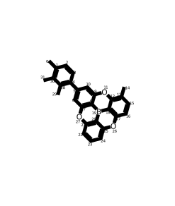 Cc1ccc(-c2cc3c4c(c2)Oc2c(C)ccc5c2B4c2c(cccc2O5)O3)c(C)c1C